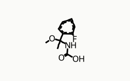 COC(C)(NC(=O)O)c1ccccc1F